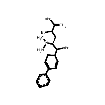 C=C(CCC)C(CC)C[C@@H](C(CCC)C1C=CC(c2ccccc2)=CC1)N(C)N